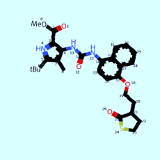 COC(=O)c1[nH]c(C(C)(C)C)c(C)c1NC(=O)Nc1ccc(OCCC2CCSC2=O)c2ccccc12